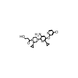 Nc1cc(Oc2cc(Cl)ccn2)c(C2CC2)nc1N1CCN(C(=O)CCO)[C@H](C2CC2)C1